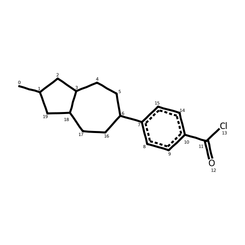 CC1CC2CCC(c3ccc(C(=O)Cl)cc3)CCC2C1